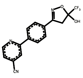 N#Cc1ccnc(-c2ccc(C3=NOC(O)(C(F)(F)F)C3)cc2)c1